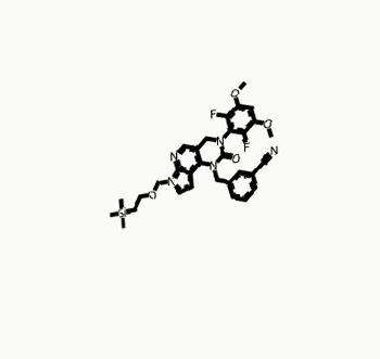 COc1cc(OC)c(F)c(N2Cc3cnc4c(ccn4COCC[Si](C)(C)C)c3N(Cc3cccc(C#N)c3)C2=O)c1F